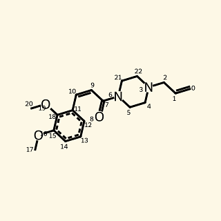 C=CCN1CCN(C(=O)/C=C\c2cccc(OC)c2OC)CC1